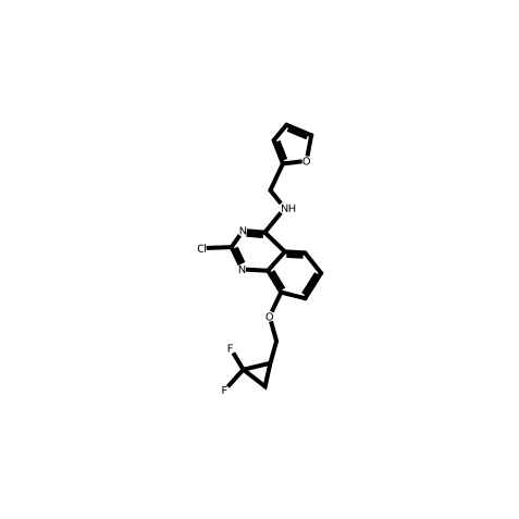 FC1(F)CC1COc1cccc2c(NCc3ccco3)nc(Cl)nc12